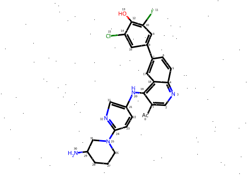 CC(=O)c1cnc2ccc(-c3cc(F)c(O)c(Cl)c3)cc2c1Nc1ccc(N2CCCC(N)C2)nc1